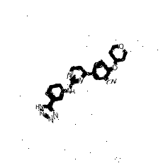 N#Cc1cc(-c2ccnc(Nc3cccc(-c4nnn[nH]4)c3)n2)ccc1OC1CCOCC1